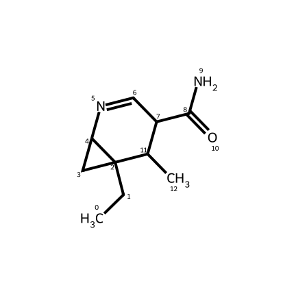 CCC12CC1N=CC(C(N)=O)C2C